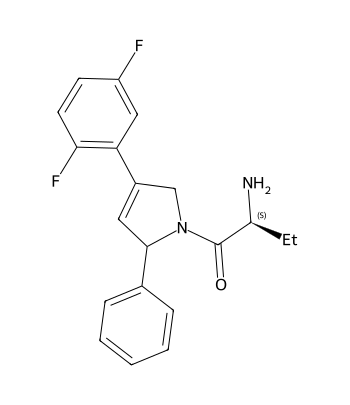 CC[C@H](N)C(=O)N1CC(c2cc(F)ccc2F)=CC1c1ccccc1